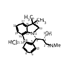 CNC[C@@H](O)[C@H](c1ccccc1)N1CC(C)(C)c2cccc(F)c21.Cl